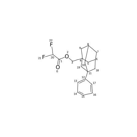 O=C(OCC12CC3CC(C1)CC(c1ccccc1)(C3)C2)C(F)F